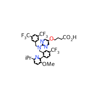 COc1ccc(C(C)C)nc1-c1ccc(C(F)(F)F)cc1CN(Cc1cc(C(F)(F)F)cc(C(F)(F)F)c1)c1ncc(OCCCC(=O)O)cn1